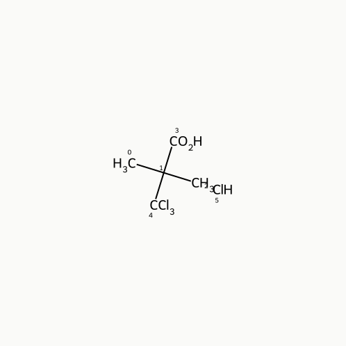 CC(C)(C(=O)O)C(Cl)(Cl)Cl.Cl